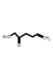 C=CCCC(=O)COC(C)=O